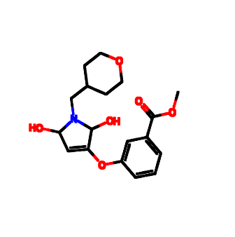 COC(=O)c1cccc(OC2=CC(O)N(CC3CCOCC3)C2O)c1